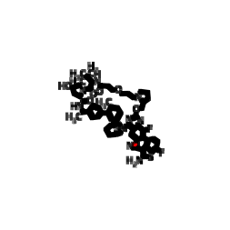 Cc1ccccc1-c1ccc([C@H](C)NC(=O)[C@@H]2C[C@@H](O)CN2C(=O)[C@@H](NC(=O)CCOCCCN2CCCC2COc2nc(N3CC4CCC(C3)N4)c3cc(Cl)c(-c4ccc(F)c5sc(N)c(C#N)c45)c(F)c3n2)C(C)(C)C)cc1